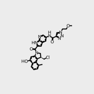 COCCn1cc(C(=O)Nc2cnc3[nH]c(C(=O)N4C[C@@H](CCl)c5c4cc(O)c4cccc(C)c54)cc3c2)nn1